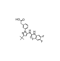 CC(C)(C)c1cc(NC(=O)Nc2cc(F)c(F)cc2F)n(-c2cccc(CC(=O)O)c2)n1